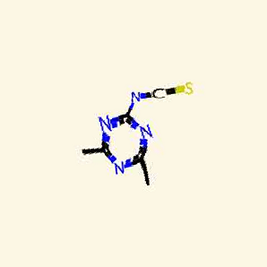 Cc1nc(C)nc(N=C=S)n1